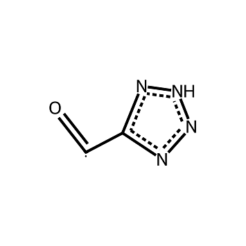 O=[C]c1nn[nH]n1